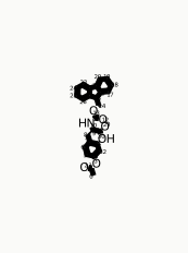 CC(=O)Oc1ccc(C[C@@H](NC(=O)OCC2c3ccccc3-c3ccccc32)C(=O)O)cc1